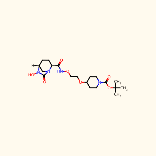 CC(C)(C)OC(=O)N1CCC(OCCONC(=O)[C@@H]2CC[C@@H]3CN2C(=O)N3O)CC1